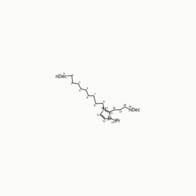 CCCCCCCCCCCCCCCCCCC[n+]1ccn(C(C)C)c1CCCCCCCCCCCCC